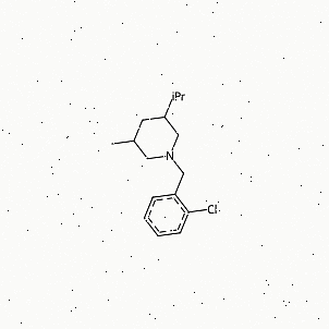 CC1CC(C(C)C)CN(Cc2ccccc2Cl)C1